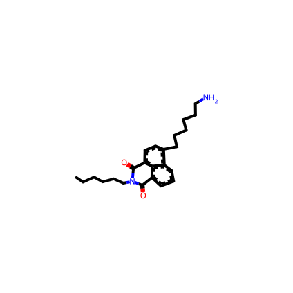 CCCCCCN1C(=O)c2cccc3c(CCCCCCN)ccc(c23)C1=O